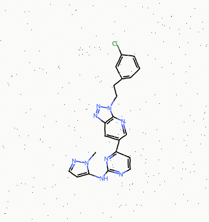 Cn1nccc1Nc1nccc(-c2cnc3c(c2)nnn3CCc2cccc(Cl)c2)n1